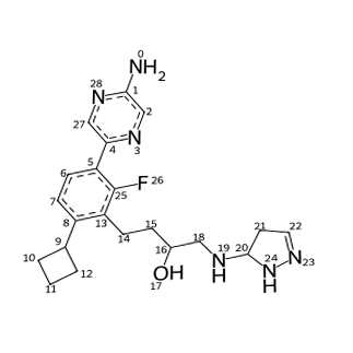 Nc1cnc(-c2ccc(C3CCC3)c(CCC(O)CNC3CC=NN3)c2F)cn1